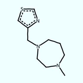 CN1CCCN(Cc2cscn2)CC1